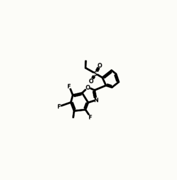 CCS(=O)(=O)c1ccccc1-c1nc2c(F)c(C)c(F)c(F)c2o1